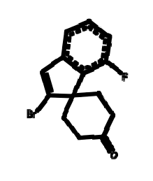 O=C1CCC2(CC1)C(Br)=Cc1cccc(F)c12